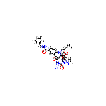 C[C@@H]1CN2c3ccc(C(=O)NCc4ccccc4)cc3CC3(C(=O)NC(=O)NC3=O)[C@H]2[C@H](C)O1